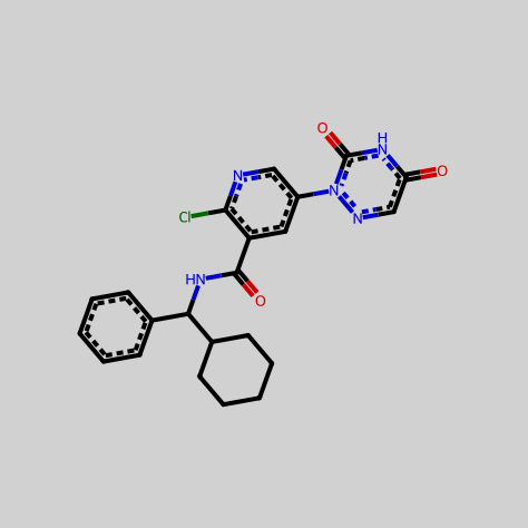 O=C(NC(c1ccccc1)C1CCCCC1)c1cc(-n2ncc(=O)[nH]c2=O)cnc1Cl